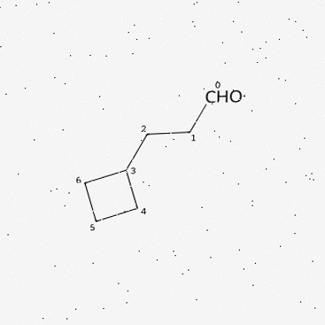 O=[C]CCC1CCC1